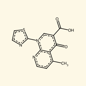 Cc1ccnc2c1c(=O)c(C(=O)O)cn2-c1nccs1